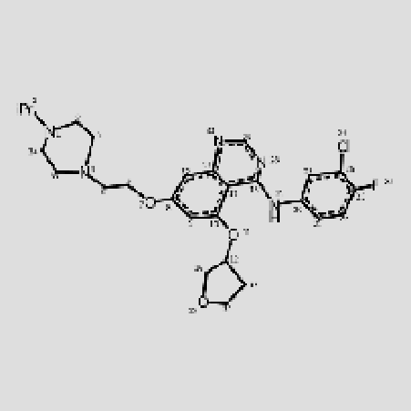 CC(C)N1CCN(CCOc2cc(OC3CCOC3)c3c(Nc4ccc(F)c(Cl)c4)ncnc3c2)CC1